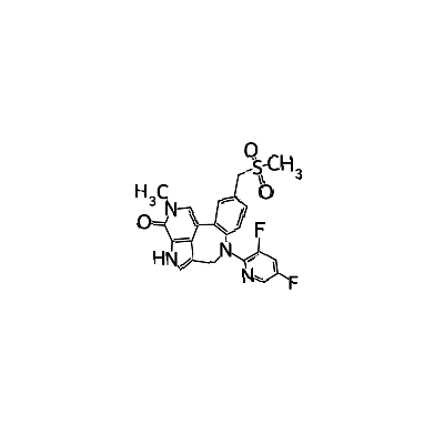 Cn1cc2c3c(c[nH]c3c1=O)CN(c1ncc(F)cc1F)c1ccc(CS(C)(=O)=O)cc1-2